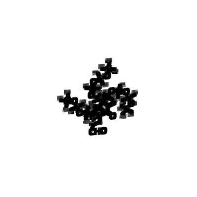 C=C(C(=O)[SiH2]CCC=O)C([Si](C)(C)O[Si](C)(C)O[Si](C)(C)O[Si](C)(C)C)([Si](C)(C)O[Si](C)(C)O[Si](C)(C)O[Si](C)(C)C)[Si](C)(C)O[Si](C)(C)O[Si](C)(C)O[Si](C)(C)C